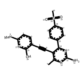 CNc1ccc(C#Cc2c(C)nc(N)nc2-c2ccc(S(C)(=O)=O)cc2)c(O)n1